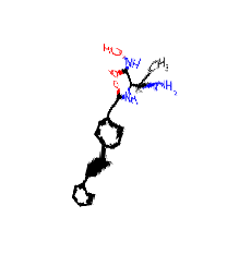 C[C@@H](N)C(NC(=O)c1ccc(C#Cc2ccccc2)cc1)C(=O)NO